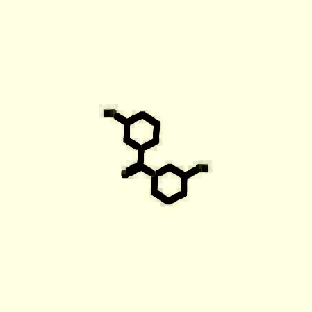 O=C(N1CCCC(O)C1)N1CCCC(O)C1